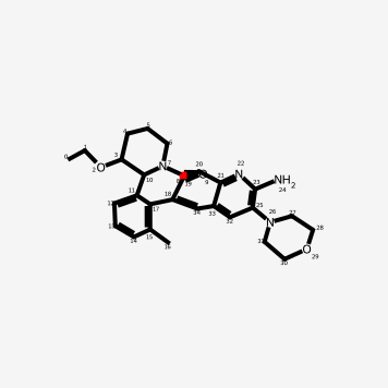 CCOC1CCCN(C=O)C1c1cccc(C)c1-c1ccc2nc(N)c(N3CCOCC3)cc2c1